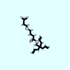 C=CCC(CC=C)(CC=C)COC(F)CCCOCCC(C)C